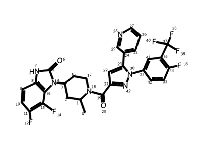 CC1CC(n2c(=O)[nH]c3ccc(F)c(F)c32)CCN1C(=O)c1cc(-c2cccnc2)n(-c2ccc(F)c(C(F)(F)F)c2)n1